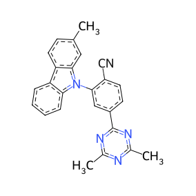 Cc1ccc2c3ccccc3n(-c3cc(-c4nc(C)nc(C)n4)ccc3C#N)c2c1